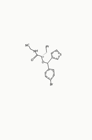 CC(C)C[C@H](OC(c1ccc(Br)cc1)c1ccsc1)C(=O)NCC#N